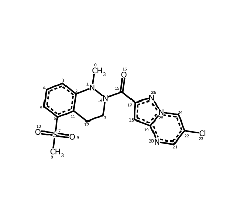 CN1c2cccc(S(C)(=O)=O)c2CCN1C(=O)c1cc2ncc(Cl)cn2n1